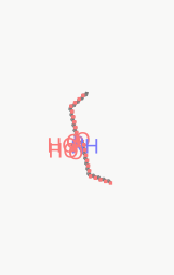 CCCCCCCC/C=C\CCCCCCCCCCCC(=O)P(NC(CO)C(=O)O)C(=O)CCCCCCCCCCC/C=C\CCCCCCCC